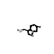 CCc1cnn2cc(F)ccc12